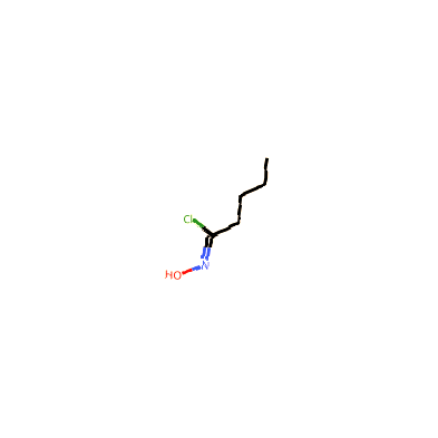 CCCCC(Cl)=NO